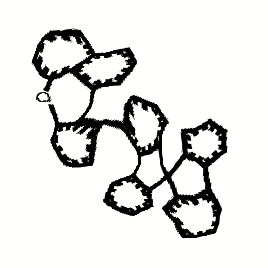 c1ccc2c(c1)-c1ccccc1C21c2ccccc2-c2c(-c3cccc4c3-c3cccc5cccc(c35)O4)cccc21